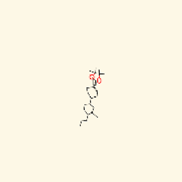 CCCC1CCC(C2CC=C(B3OC(C)(C)C(C)(C)O3)CC2)CC1C